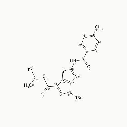 Cc1ccc(C(=O)Nc2nc3c(s2)c(C(=O)NC(C)C(C)C)cn3C(C)(C)C)cc1